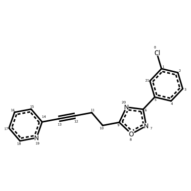 Clc1cccc(-c2noc(CCC#Cc3ccccn3)n2)c1